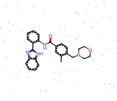 Cc1cc(C(=O)Nc2ccccc2-c2nc3ccccc3[nH]2)ccc1CN1CCOCC1